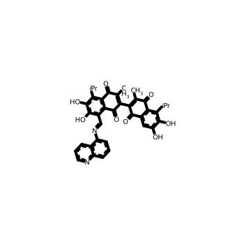 CC1=C(C2=C(C)C(=O)c3c(c(/C=N/c4cccc5ncccc45)c(O)c(O)c3C(C)C)C2=O)C(=O)c2cc(O)c(O)c(C(C)C)c2C1=O